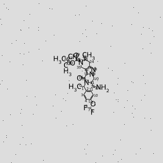 CC(c1ccc(OC(F)F)cc1)N1C(=O)c2c3c(nn2CC1CN)C[C@@H](C)N(C(=O)OC(C)(C)C)C3